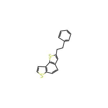 c1ccc(CCc2cc3ccc4sccc4c3s2)cc1